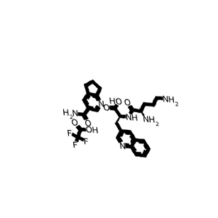 NC(=O)c1cnc2c(c1)CCC2.NCCC[C@@H](N)C(=O)N[C@@H](Cc1cnc2ccccc2c1)C(=O)O.O=C(O)C(F)(F)F